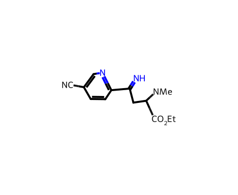 CCOC(=O)C(CC(=N)c1ccc(C#N)cn1)NC